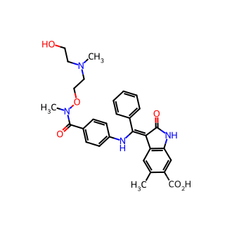 Cc1cc2c(cc1C(=O)O)NC(=O)/C2=C(/Nc1ccc(C(=O)N(C)OCCN(C)CCO)cc1)c1ccccc1